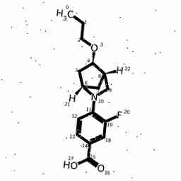 CCCO[C@@H]1C[C@@H]2C[C@H]1CN2c1ccc(C(=O)O)cc1F